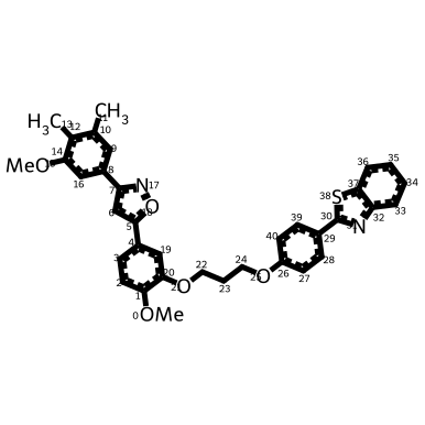 COc1ccc(-c2cc(-c3cc(C)c(C)c(OC)c3)no2)cc1OCCCOc1ccc(-c2nc3ccccc3s2)cc1